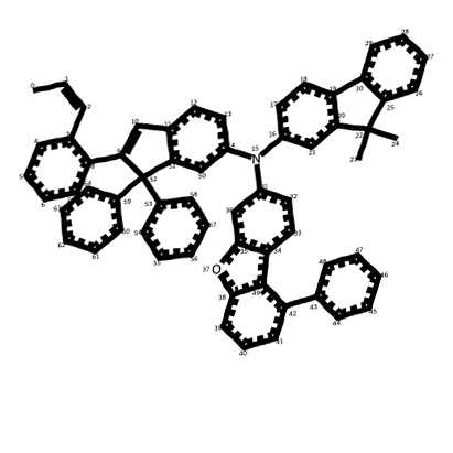 C/C=C\c1ccccc1C1=Cc2ccc(N(c3ccc4c(c3)C(C)(C)c3ccccc3-4)c3ccc4c(c3)oc3cccc(-c5ccccc5)c34)cc2C1(c1ccccc1)c1ccccc1